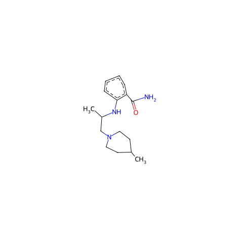 CC1CCN(CC(C)Nc2ccccc2C(N)=O)CC1